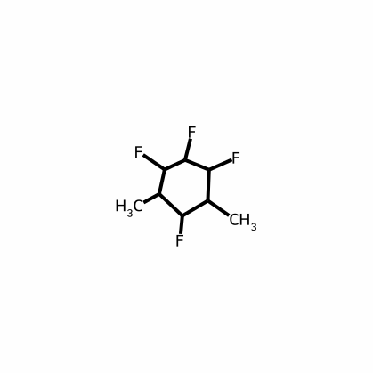 CC1C(F)C(C)C(F)C(F)C1F